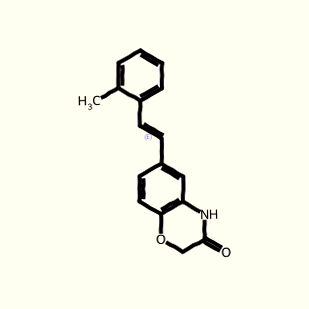 Cc1ccccc1/C=C/c1ccc2c(c1)NC(=O)CO2